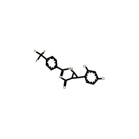 O=C1N=C(c2ccc(C(F)(F)F)cc2)NC2C1C2c1ccc(Cl)cc1Cl